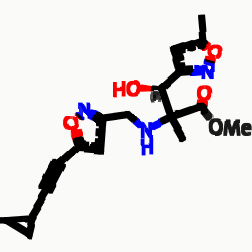 COC(=O)C(C)(NCc1cc(C#CC2CC2)on1)[C@@H](O)c1cc(C)on1